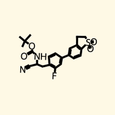 CC(C)(C)OC(=O)NC(C#N)Cc1ccc(-c2ccc3c(c2)CCS3(=O)=O)cc1F